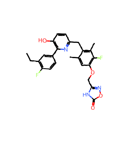 CCc1cc(-c2nc(Cc3c(C)cc(OCc4noc(=O)[nH]4)c(F)c3C)ccc2O)ccc1F